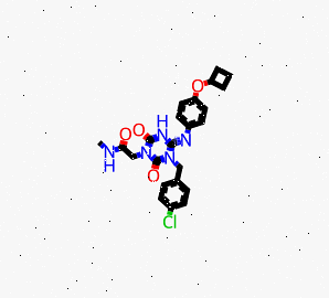 CNC(=O)Cn1c(=O)[nH]/c(=N\c2ccc(OC3CCC3)cc2)n(Cc2ccc(Cl)cc2)c1=O